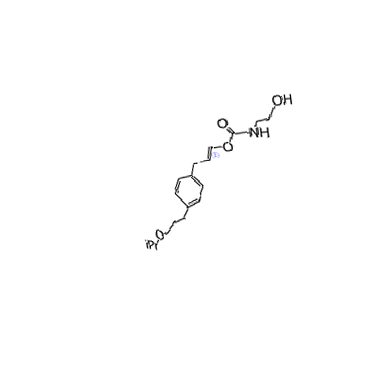 CC(C)OCCCc1ccc(C/C=C/OC(=O)NCCO)cc1